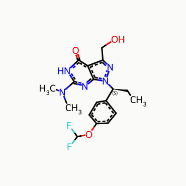 CC[C@@H](c1ccc(OC(F)F)cc1)n1nc(CO)c2c(=O)[nH]c(N(C)C)nc21